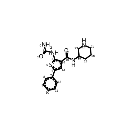 NC(=O)Nc1sc(-c2ccccc2)cc1C(=O)NC1CCCNC1